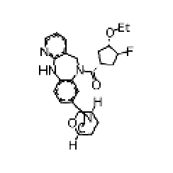 CCO[C@H]1C[C@@H](C(=O)N2Cc3cccnc3Nc3ccc(N4C[C@@H]5CC[C@H]4CO5)cc32)C[C@@H]1F